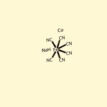 N#[C][Fe]([C]#N)([C]#N)([C]#N)([C]#N)[C]#N.[Co].[NaH]